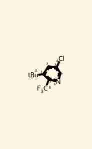 CC(C)(C)c1cc(Cl)cnc1C(F)(F)F